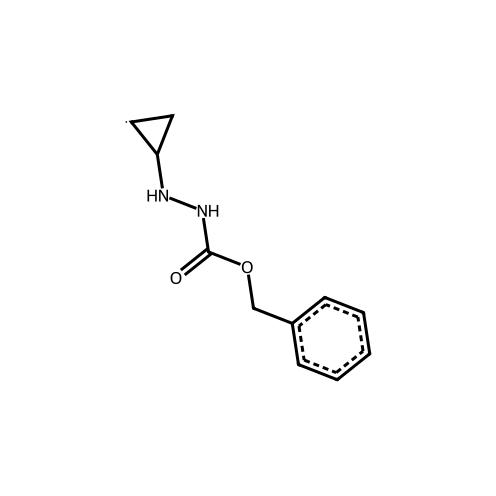 O=C(NNC1[CH]C1)OCc1ccccc1